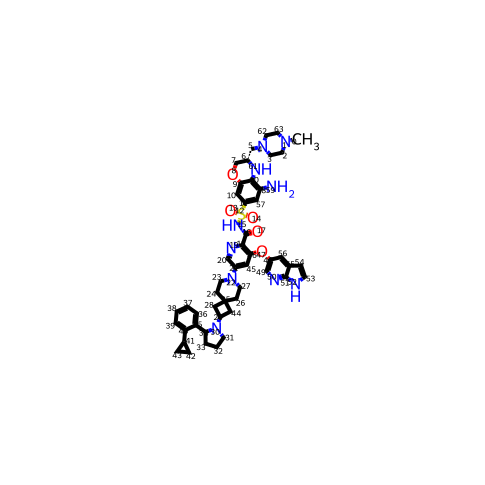 CN1CCN(C[C@H]2COc3cc(S(=O)(=O)NC(=O)c4ncc(N5CCC6(CC5)CC(N5CCCC5c5ccccc5C5CC5)C6)cc4Oc4cnc5[nH]ccc5c4)cc(N)c3N2)CC1